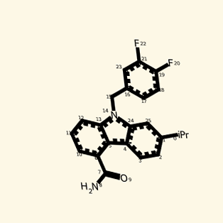 CC(C)c1c[c]c2c3c(C(N)=O)cccc3n(Cc3ccc(F)c(F)c3)c2c1